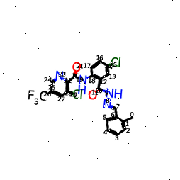 Cc1ccccc1/C=N/NC(=O)c1cc(Cl)ccc1NC(=O)c1ncc(C(F)(F)F)cc1Cl